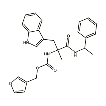 CC(NC(=O)C(C)(Cc1c[nH]c2ccccc12)NC(=O)OCc1ccoc1)c1ccccc1